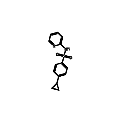 O=S(=O)(Nc1ccccn1)c1ccc(C2CC2)cc1